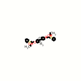 C=CC(=O)OC(COc1ccc(C(C)(C)c2ccc(OCC(CSc3ccccc3)OC(=O)C=C)cc2)cc1)CSc1ccccc1